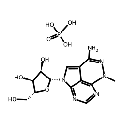 CN1N=C(N)c2cn([C@@H]3O[C@H](CO)[C@@H](O)[C@H]3O)c3ncnc1c23.O=P(O)(O)O